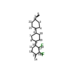 C=CC1CCC(C2CCC(C3CCC(C)C(F)C3F)CC2)CC1